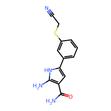 N#CCSc1cccc(-c2cc(C(N)=O)c(N)[nH]2)c1